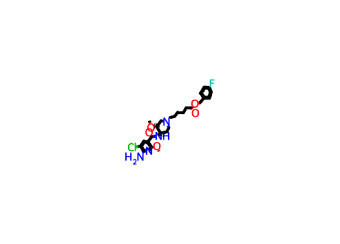 COc1nc(N)c(Cl)cc1C(=O)N[C@@H]1CCN(CCCCCC(=O)OCc2ccc(F)cc2)C[C@@H]1OC